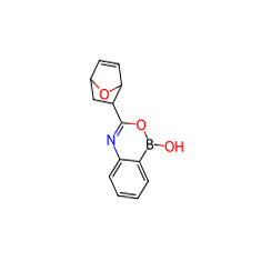 OB1OC(C2CC3C=CC2O3)=Nc2ccccc21